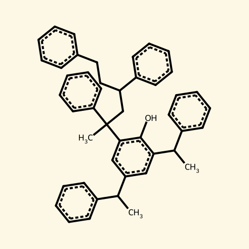 CC(c1ccccc1)c1cc(C(C)c2ccccc2)c(O)c(C(C)(CC(CCc2ccccc2)c2ccccc2)c2ccccc2)c1